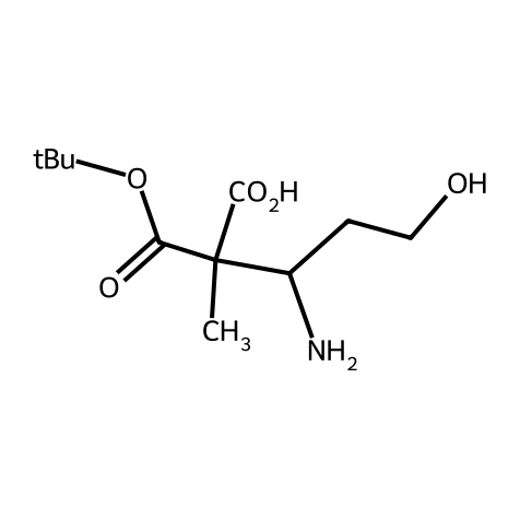 CC(C)(C)OC(=O)C(C)(C(=O)O)C(N)CCO